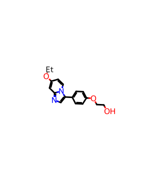 CCOc1ccn2c(-c3ccc(OCCO)cc3)cnc2c1